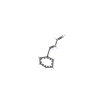 S=N/N=C/c1ccccc1